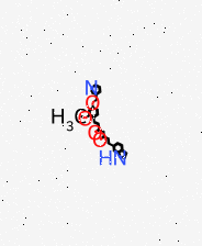 COc1cc(OCc2cccnc2)ccc1C=CC(=O)CC(=O)C=Cc1ccc2cc[nH]c2c1